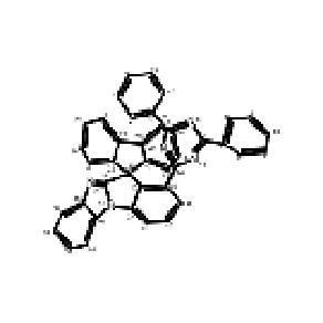 c1ccc(-c2nc(-c3ccccc3)nc(-c3cccc4c3C3(c5ccccc5-c5ccccc53)c3nc5ccccc5n3-4)n2)cc1